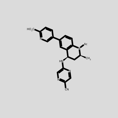 CC(=O)N1c2ccc(-c3ccc(C(=O)O)nc3)cc2[C@H](Nc2cnc(C#N)cn2)C[C@@H]1C